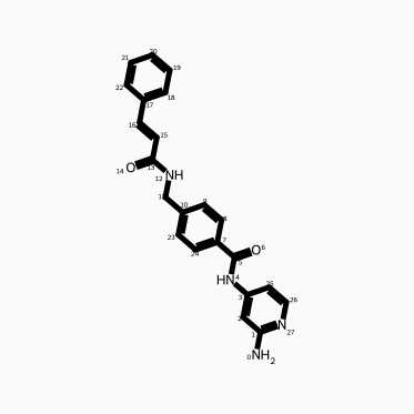 Nc1cc(NC(=O)c2ccc(CNC(=O)C=Cc3ccccc3)cc2)ccn1